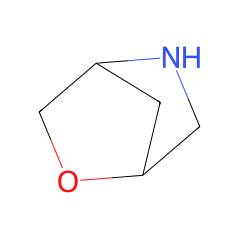 C1OC2CNC1C2